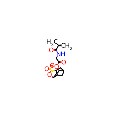 C=C(C)C(=O)NCC(=O)OC1C2CC3C1OS(=O)(=O)C3C2